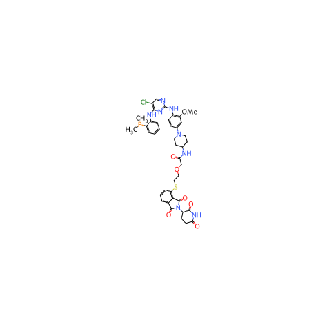 COc1cc(N2CCC(NC(=O)COCCSc3cccc4c3C(=O)N(C3CCC(=O)NC3=O)C4=O)CC2)ccc1Nc1ncc(Cl)c(Nc2ccccc2P(C)C)n1